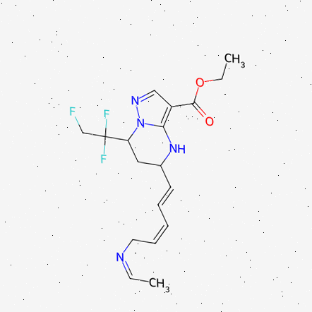 C/C=N\C/C=C\C=C\C1CC(C(F)(F)CF)n2ncc(C(=O)OCC)c2N1